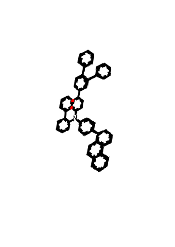 c1ccc(-c2ccc(-c3ccc(N(c4ccc(-c5cccc6c5ccc5ccccc56)cc4)c4ccccc4-c4ccccc4)cc3)cc2-c2ccccc2)cc1